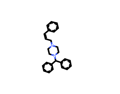 C(=C/c1ccccc1)/CN1CCN(C(c2ccccc2)c2ccccc2)CC1